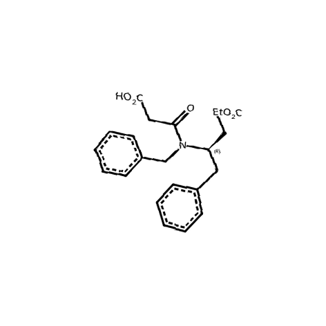 CCOC(=O)C[C@@H](Cc1ccccc1)N(Cc1ccccc1)C(=O)CC(=O)O